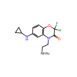 CC(=O)NCCN1C(=O)C(F)(F)Oc2ccc(NC3CC3)cc21